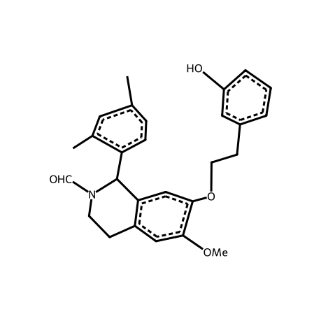 COc1cc2c(cc1OCCc1cccc(O)c1)C(c1ccc(C)cc1C)N(C=O)CC2